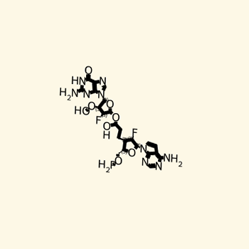 Nc1nc2c(ncn2[C@@H]2OC(OC(O)CC[C@H]3[C@H](F)[C@H](n4ccc5c(N)ncnc54)O[C@@H]3COP)[C@@H](F)[C@H]2OO)c(=O)[nH]1